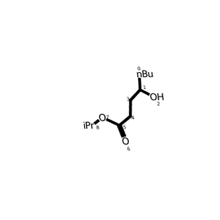 CCCCC(O)CCC(=O)OC(C)C